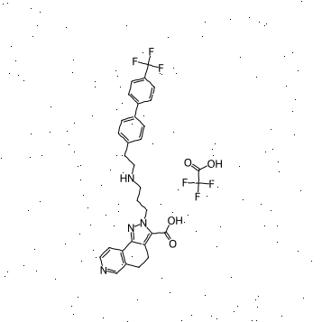 O=C(O)C(F)(F)F.O=C(O)c1c2c(nn1CCCNCCc1ccc(-c3ccc(C(F)(F)F)cc3)cc1)-c1ccncc1CC2